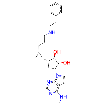 CNc1ncnc2c1ccn2[C@@H]1C[C@H](C2CC2CCCNCCc2ccccc2)[C@@H](O)[C@H]1O